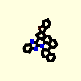 c1ccc2c3c(ccc2c1)N(c1nc2ccccc2nc1-c1ccc2c(c1)sc1ccccc12)c1cccc2cccc-3c12